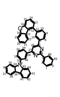 c1ccc(-c2nc(-c3cccc(-c4cccc5oc6ccccc6c45)c3)cc(-c3cccc(-n4c5ccccc5c5ccccc54)c3)n2)cc1